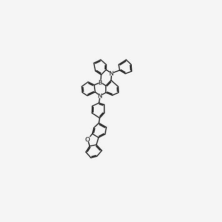 c1ccc(N2c3ccccc3B3c4ccccc4N(c4ccc(-c5ccc6c(c5)oc5ccccc56)cc4)c4cccc2c43)cc1